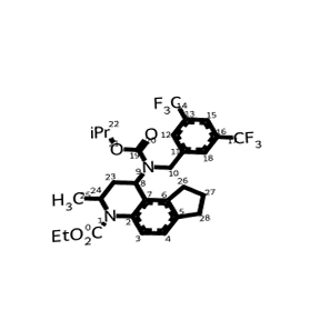 CCOC(=O)N1c2ccc3c(c2C(N(Cc2cc(C(F)(F)F)cc(C(F)(F)F)c2)C(=O)OC(C)C)CC1C)CCC3